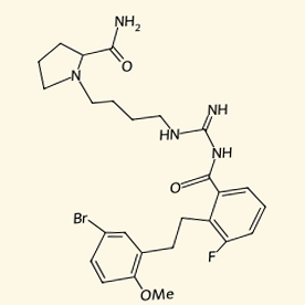 COc1ccc(Br)cc1CCc1c(F)cccc1C(=O)NC(=N)NCCCCN1CCCC1C(N)=O